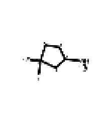 CNC1CCC(F)(F)C1